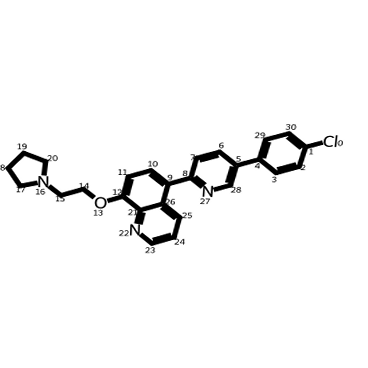 Clc1ccc(-c2ccc(-c3ccc(OCCN4CCCC4)c4ncccc34)nc2)cc1